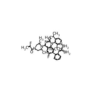 BC(B)=Cc1ccccc1-c1cc2c(cc1F)c(N1[C@@H](C)CN(C(=O)C(=C)F)C[C@@H]1C)nc(=O)n2-c1c(C(C)C)ccnc1C(C)C